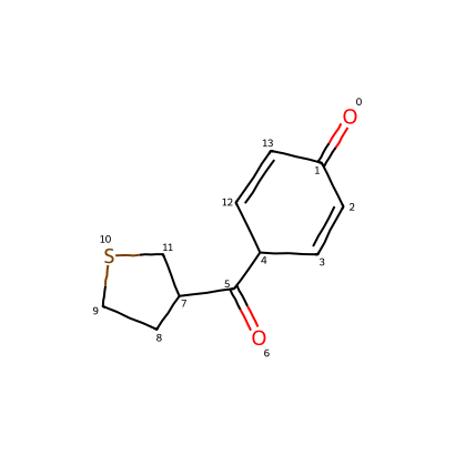 O=C1C=CC(C(=O)C2CCSC2)C=C1